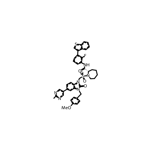 COc1ccc(Cn2c(=O)n(CS(=O)(=O)N3CCCCC[C@H]3C(=O)Nc3cccc(-c4csc5ccccc45)c3F)c3ccc(-c4cnc(C)nc4)cc32)cc1